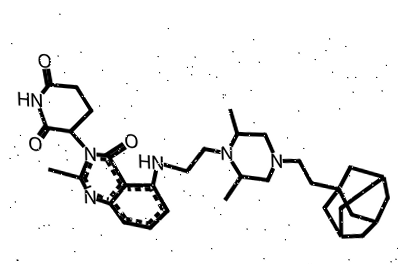 Cc1nc2cccc(NCCN3C(C)CN(CCC45CC6CC(CC(C6)C4)C5)CC3C)c2c(=O)n1C1CCC(=O)NC1=O